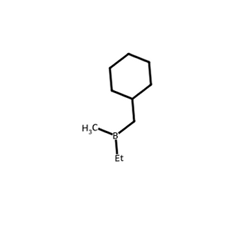 CCB(C)CC1CCCCC1